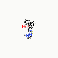 C/C=C\N(/C=N/C)SN1CCC(C(O)(c2ccccc2)c2ccccc2)CC1